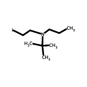 CCCN(CCI)C(C)(C)C